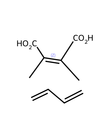 C/C(C(=O)O)=C(\C)C(=O)O.C=CC=C